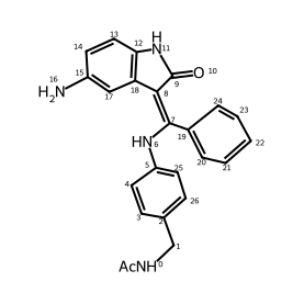 CC(=O)NCc1ccc(NC(=C2C(=O)Nc3ccc(N)cc32)c2ccccc2)cc1